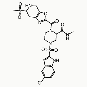 CNC(=O)C1CN(S(=O)(=O)c2cc3cc(Cl)ccc3[nH]2)CCN1C(=O)c1nc2c(o1)CNC(S(C)(=O)=O)C2